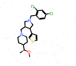 CO[C@@H](C)C1CCN(CC2CN(Cc3ccc(Cl)cc3Cl)CC2c2ccsc2)CC1